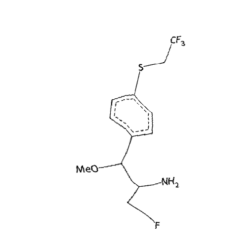 COC(c1ccc(SCC(F)(F)F)cc1)C(N)CF